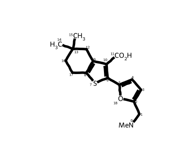 CNCc1ccc(-c2sc3c(c2C(=O)O)CC(C)(C)CC3)o1